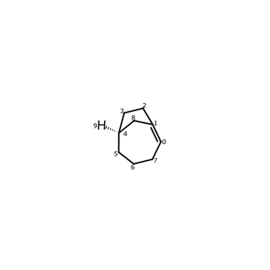 C1=C2CC[C@H](CCC1)C2